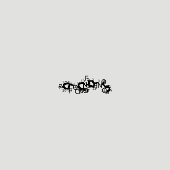 O=C(NCc1cc(F)c(-n2ccc(OCc3ccc(F)cc3F)c(Cl)c2=O)c(F)c1)c1ccco1